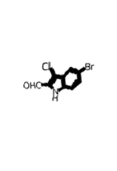 O=Cc1[nH]c2ccc(Br)cc2c1Cl